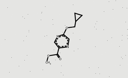 COC(=O)c1cnc(OCC2CC2)cn1